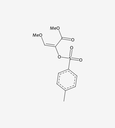 COC=C(OS(=O)(=O)c1ccc(C)cc1)C(=O)OC